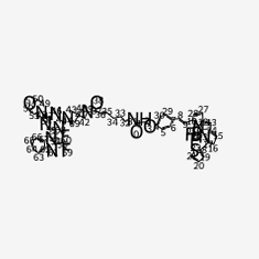 O=C(COc1ccc(C=CC2=[N+]3C(=Cc4ccc(-c5cccs5)n4[B-]3(F)F)C=C2)cc1)NCCCCCC(=O)N1CC2(C1)CN(c1nc(N3CCOCC3)nc(-n3c(C(F)F)nc4ccccc43)n1)C2